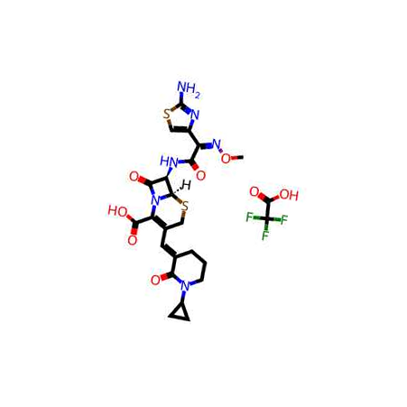 CO/N=C(\C(=O)N[C@@H]1C(=O)N2C(C(=O)O)=C(/C=C3\CCCN(C4CC4)C3=O)CS[C@H]12)c1csc(N)n1.O=C(O)C(F)(F)F